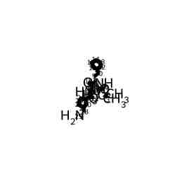 CC(C)(C)OC(=O)N[C@H](CCc1ccccc1)C(=O)NNC(=O)c1cccc(CN)c1